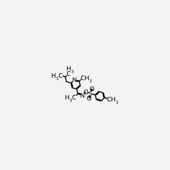 CC(=NOS(=O)(=O)c1ccc(C)cc1)c1cc(C)nc(CC(C)C)c1